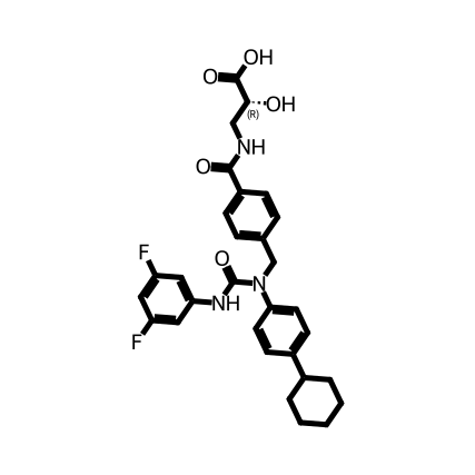 O=C(NC[C@@H](O)C(=O)O)c1ccc(CN(C(=O)Nc2cc(F)cc(F)c2)c2ccc(C3CCCCC3)cc2)cc1